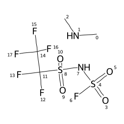 CNC.O=S(=O)(F)NS(=O)(=O)C(F)(F)C(F)(F)F